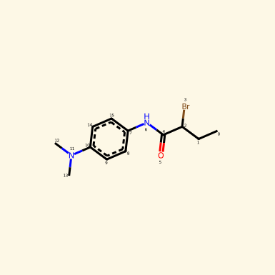 CCC(Br)C(=O)Nc1ccc(N(C)C)cc1